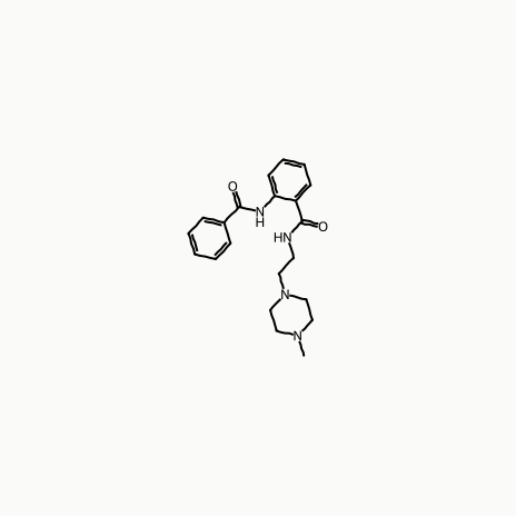 CN1CCN(CCNC(=O)c2ccccc2NC(=O)c2ccccc2)CC1